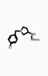 CCCCCNC1CCN(Cc2ccc(Cl)cc2)C1